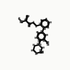 COC(=O)NCCc1ccccc1-c1ccc([C@@H]2CCCNC2)c(Cl)c1